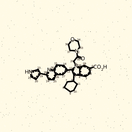 O=C(O)c1ccc2c(C3CCCCC3)c(-c3ccc4nc(-c5cc[nH]c5)ccc4c3)n(CC(=O)N3CCOCC3)c2c1